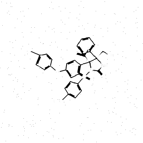 CC[C@@]1(c2ccccc2)NC(=O)N(S(=O)(=O)c2ccc(C)cc2)[C@]1(C(=O)O)c1ccc(Oc2ccc(Cl)cc2)cc1